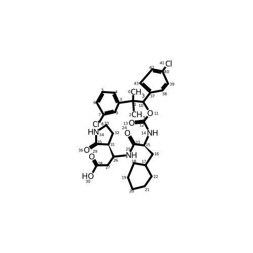 CC(C)(c1cccc(Cl)c1)C(OC(=O)N[C@@H](CC1CCCCC1)C(=O)NC(CC(=O)O)[C@@H]1CCNC1=O)c1ccc(Cl)cc1